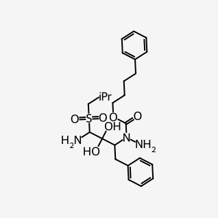 CC(C)CS(=O)(=O)C(N)C(O)(O)C(Cc1ccccc1)N(N)C(=O)OCCCCc1ccccc1